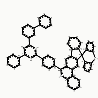 c1ccc(-c2cccc(-c3nc(-c4ccccc4)nc(-c4ccc(-c5nc6ccccc6c6cc7c(cc56)-c5ccccc5C75c6ccccc6Oc6ccccc65)cc4)n3)c2)cc1